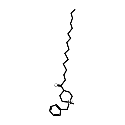 CCCCCCCCCCCCCCCC(=O)C1CC[N+](C)(Cc2ccccc2)CC1